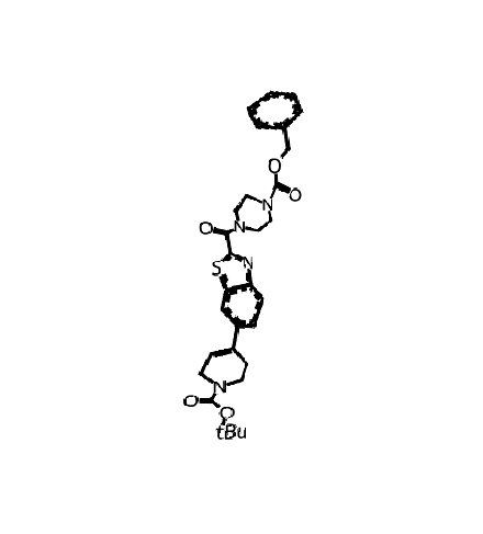 CC(C)(C)OC(=O)N1CC=C(c2ccc3nc(C(=O)N4CCN(C(=O)OCc5ccccc5)CC4)sc3c2)CC1